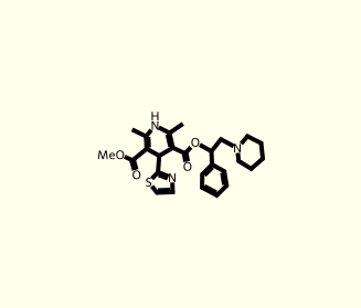 COC(=O)C1=C(C)NC(C)=C(C(=O)OC(CN2CCCCC2)c2ccccc2)C1c1nccs1